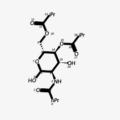 CCCC(=O)N[C@H]1C(O)O[C@H](COC(=O)C(C)C)[C@@H](OC(=O)C(C)C)[C@@H]1O